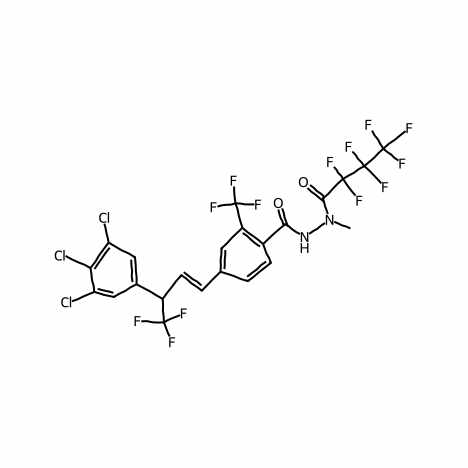 CN(NC(=O)c1ccc(/C=C/C(c2cc(Cl)c(Cl)c(Cl)c2)C(F)(F)F)cc1C(F)(F)F)C(=O)C(F)(F)C(F)(F)C(F)(F)F